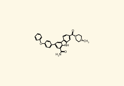 CN1CCN(C(=O)c2ccc3c(c2)[nH]c2c(C(N)=O)cc(-c4ccc(Oc5ccccc5)cc4)cc23)CC1